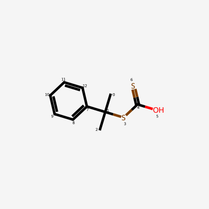 CC(C)(SC(O)=S)c1ccccc1